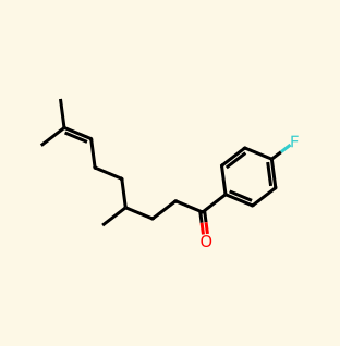 CC(C)=CCCC(C)CCC(=O)c1ccc(F)cc1